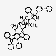 C=C/C(=C\C=C/C)c1c2c3ccccc3n(C3=CCCC=C3)c2c(-c2ccccc2)c2c3ccccc3n(/C(C=C)=C/C/C(C)=C(\C)c3nnc(C4C=CC=C(c5ccccc5)C4)n3-c3ccccc3)c12